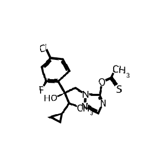 CC(=S)Oc1ncnn1C[C@@](O)(c1ccc(Cl)cc1F)C(C)C1CC1